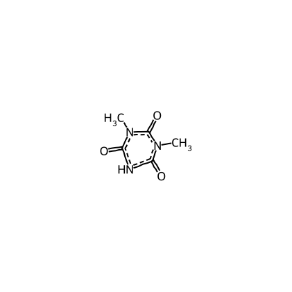 Cn1c(=O)[nH]c(=O)n(C)c1=O